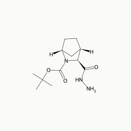 CC(C)(C)OC(=O)N1[C@@H]2CC[C@@H](C2)[C@H]1C(=O)NN